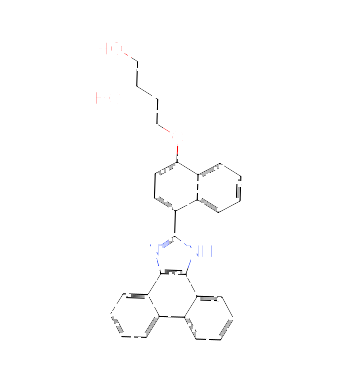 OC[C@@H](O)CCOc1ccc(-c2nc3c4ccccc4c4ccccc4c3[nH]2)c2ccccc12